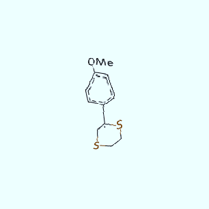 COc1ccc([C]2CSCCS2)cc1